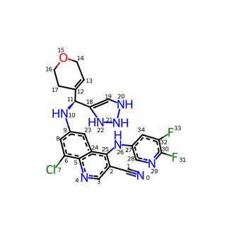 N#Cc1cnc2c(Cl)cc(N[C@@H](C3=CCOCC3)C3=CNNN3)cc2c1Nc1cnc(F)c(F)c1